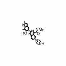 CNC(=O)c1nc(-c2cc3cn(C)nc3c(C)c2O)nc2ccc(N3CCN[C@@H](C)C3)cc12